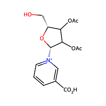 CC(=O)OC1C(OC(C)=O)[C@@H](CO)O[C@H]1[n+]1cccc(C(=O)O)c1